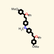 COc1ccc(C(C=Cc2ccc(N(C)c3ccc(C=CC(OC(C)C)c4ccc(OC)cc4)cc3)cc2)OC(C)C)cc1